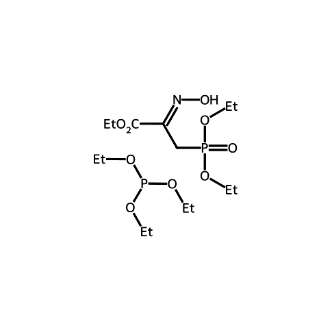 CCOC(=O)C(CP(=O)(OCC)OCC)=NO.CCOP(OCC)OCC